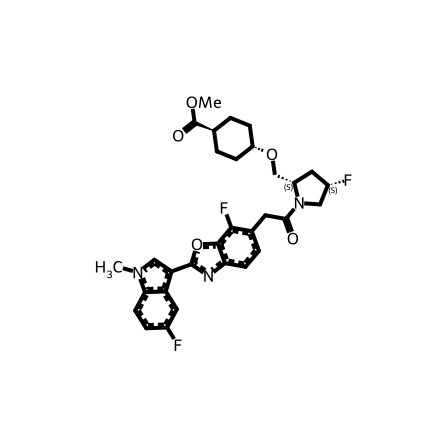 COC(=O)[C@H]1CC[C@H](OC[C@@H]2C[C@H](F)CN2C(=O)Cc2ccc3nc(-c4cn(C)c5ccc(F)cc45)oc3c2F)CC1